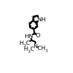 CC(CN(C)C)NC(=O)c1ccc2[c]c[nH]c2c1